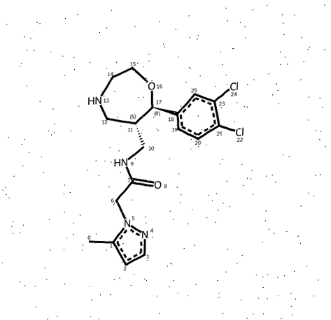 Cc1ccnn1CC(=O)NC[C@@H]1CNCCO[C@H]1c1ccc(Cl)c(Cl)c1